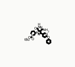 CC(C)(C)OC(=O)N1CCC[C@@H](n2nc(-c3ccc(Oc4ccccc4)nc3)c3c(N)n[nH]c(=O)c32)C1